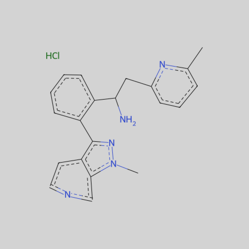 Cc1cccc(CC(N)c2ccccc2-c2nn(C)c3cnccc23)n1.Cl